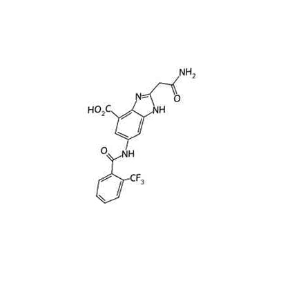 NC(=O)Cc1nc2c(C(=O)O)cc(NC(=O)c3ccccc3C(F)(F)F)cc2[nH]1